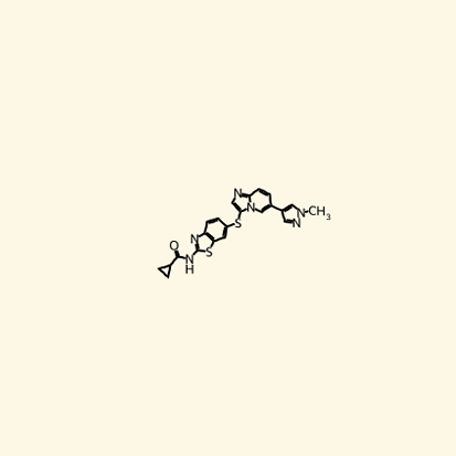 Cn1cc(-c2ccc3ncc(Sc4ccc5nc(NC(=O)C6CC6)sc5c4)n3c2)cn1